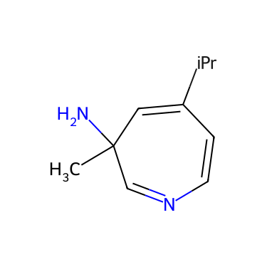 CC(C)C1=CC(C)(N)C=NC=C1